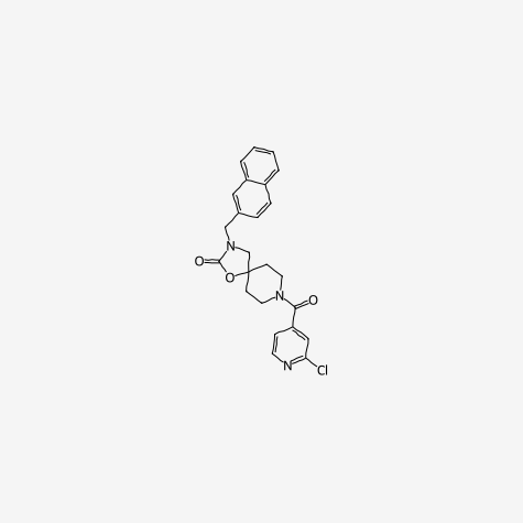 O=C1OC2(CCN(C(=O)c3ccnc(Cl)c3)CC2)CN1Cc1ccc2ccccc2c1